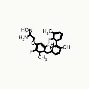 CC1=CC=CC(c2nc(CC3C(C)=CC(OC/C(N)=N/O)=C(F)C3C)ccc2O)C1F